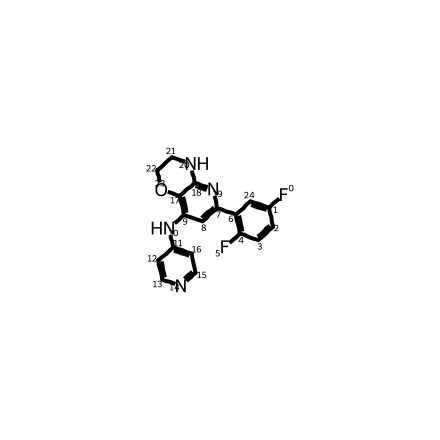 Fc1ccc(F)c(-c2cc(Nc3ccncc3)c3c(n2)NCCO3)c1